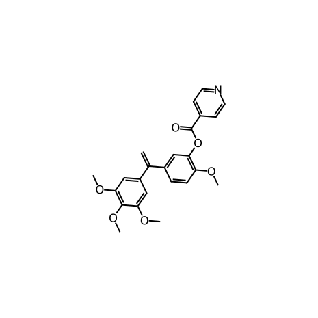 C=C(c1ccc(OC)c(OC(=O)c2ccncc2)c1)c1cc(OC)c(OC)c(OC)c1